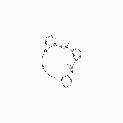 C/C1=N\c2ccccc2OCCOCCOc2ccccc2/N=C(\C)c2cccc1n2